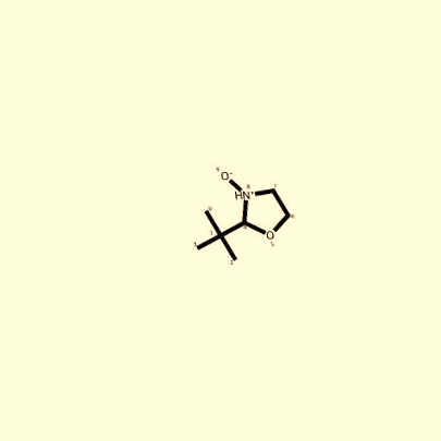 CC(C)(C)C1OCC[NH+]1[O-]